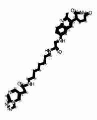 Cc1nc2ccc(NCC(=O)NCCCCCCCCNC(=O)CC3=CN4CN=NC4=CN=C3)cc2cc1C1CCC(=O)NC1=O